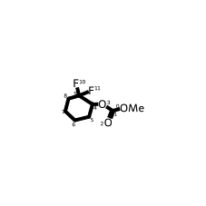 COC(=O)O[C]1CCCCC1(F)F